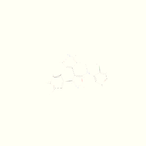 CC(=O)N(c1ccccc1Cl)c1onc(-c2ccc(F)c(C)c2)c1-c1ccncc1